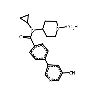 N#Cc1cncc(-c2ccc(C(=O)N(C3CC3)C3CCN(C(=O)O)CC3)cc2)c1